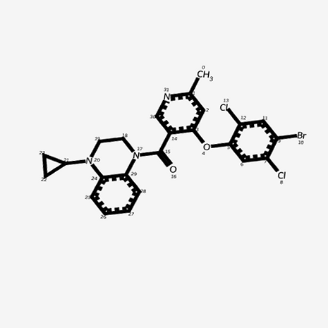 Cc1cc(Oc2cc(Cl)c(Br)cc2Cl)c(C(=O)N2CCN(C3CC3)c3ccccc32)cn1